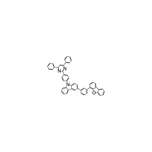 c1ccc(-c2cc(-c3ccccc3)nc(-c3ccc(-n4c5ccccc5c5cc(-c6cccc(-c7cccc8c7oc7ccccc78)c6)ccc54)cc3)n2)cc1